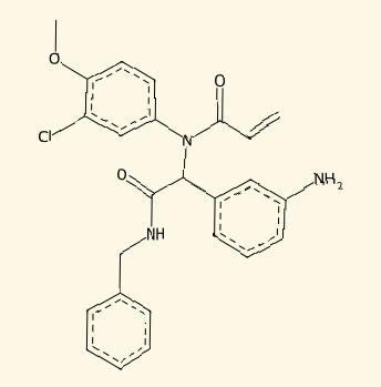 C=CC(=O)N(c1ccc(OC)c(Cl)c1)C(C(=O)NCc1ccccc1)c1cccc(N)c1